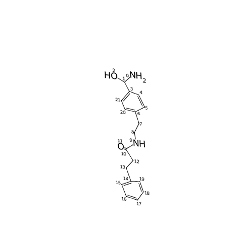 NC(O)c1ccc(CCNC(=O)CCc2ccccc2)cc1